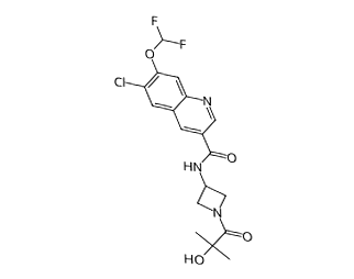 CC(C)(O)C(=O)N1CC(NC(=O)c2cnc3cc(OC(F)F)c(Cl)cc3c2)C1